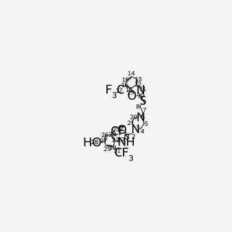 O=C(CN1CCN(CCSc2nc3cccc(C(F)(F)F)c3o2)CC1)Nc1c(C(F)(F)F)cc(O)cc1C(F)(F)F